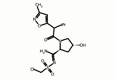 Cc1cc(C(C(=O)N2C[C@H](O)C[C@H]2/C(N)=N/S(=O)(=O)CCl)C(C)C)on1